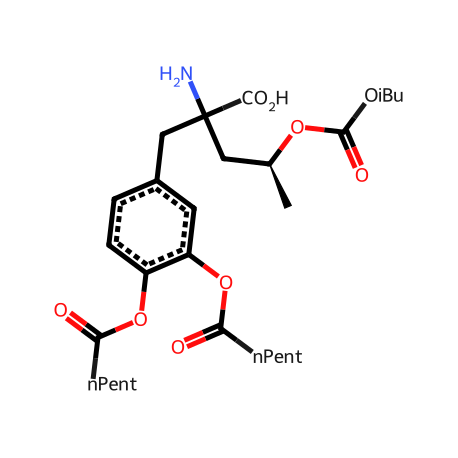 CCCCCC(=O)Oc1ccc(CC(N)(C[C@H](C)OC(=O)OCC(C)C)C(=O)O)cc1OC(=O)CCCCC